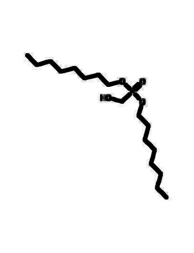 CCCCCCCCOP(=O)(CO)OCCCCCCCC